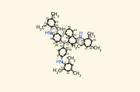 Cc1cc(C)c(Nc2ccc(C(c3ccc(Nc4c(C)cc(C)cc4C)cc3F)c3ccc(Nc4c(C)cc(C)cc4C)c4ccccc34)c(F)c2)c(C)c1